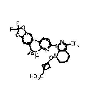 C[C@H](Nc1nc(-n2nc(C(F)(F)F)c3c2[C@H](OC24CC(C(=O)O)(C2)C4)CCC3)ccc1F)c1ccc2c(c1)OC(F)(F)O2